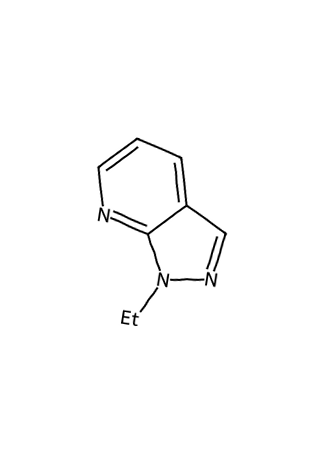 CCn1ncc2cccnc21